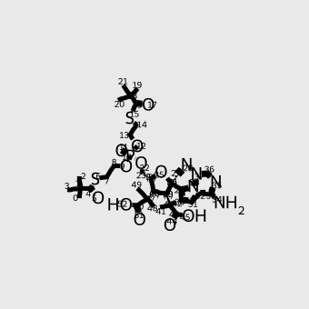 CC(C)(C)C(=O)SCCOP(=O)(OCCSC(=O)C(C)(C)C)OC[C@@H]1O[C@@](C#N)(c2ccc3c(N)ncnn23)[C@@H](C(C)(C)C(=O)O)[C@@H]1C(C)(C)C(=O)O